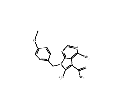 COc1ccc(Cn2c(N)c(C(N)=S)c3c(N)ncnc32)cc1